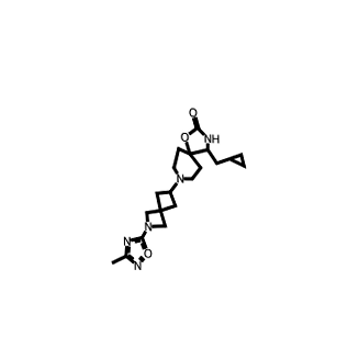 Cc1noc(N2CC3(CC(N4CCC5(CC4)OC(=O)NC5CC4CC4)C3)C2)n1